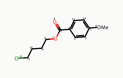 COc1ccc(C(=O)OCCCCCl)cc1